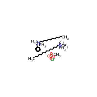 CCCCCCCCCCCCCC[N+](C)(C)C.CCCCCCCCCCCC[N+](C)(C)Cc1ccccc1.COS(=O)(=O)[O-].[Cl-]